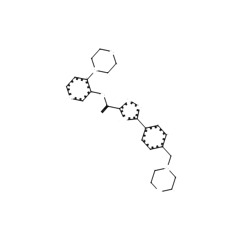 O=C(Nc1cnccc1N1CCNCC1)c1nnc(-c2ccc(CN3CCOCC3)cc2)o1